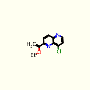 C=C(OCC)c1ccc2nccc(Cl)c2n1